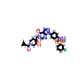 O=C(C1CC1)N1CCC(O)(Cn2cnc3c(cnn3-c3ccc(NS(=O)(=O)c4cccc(F)c4)cc3)c2=O)CC1